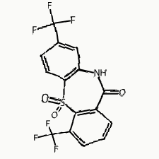 O=C1Nc2cc(C(F)(F)F)ccc2S(=O)(=O)c2c1cccc2C(F)(F)F